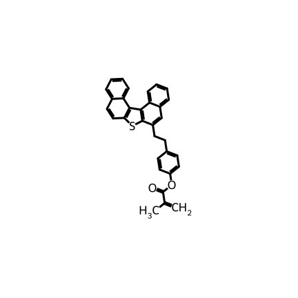 C=C(C)C(=O)Oc1ccc(CCc2cc3ccccc3c3c2sc2ccc4ccccc4c23)cc1